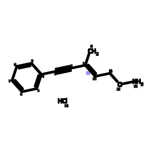 C/C(C#Cc1ccccc1)=C\CON.Cl